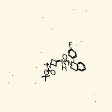 CN(C(=O)OC(C)(C)C)C1CC(=CNC(=O)N2CCc3ccccc3[C@@H]2c2ccc(F)cc2)C1